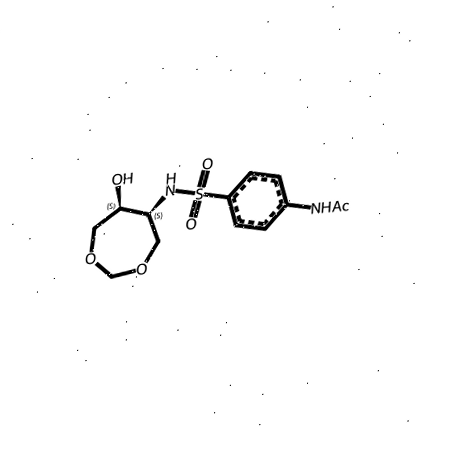 CC(=O)Nc1ccc(S(=O)(=O)N[C@H]2COCOC[C@H]2O)cc1